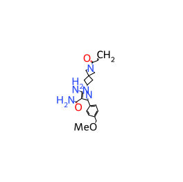 C=CC(=O)N1CC2(CC(n3nc(-c4ccc(COC)cc4)c(C(N)=O)c3N)C2)C1